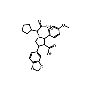 COc1ccc(C2C(C(=O)O)C(c3ccc4c(c3)OCO4)CN2C(C(N)=O)C2CCCC2)cc1